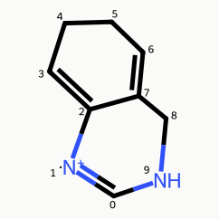 C1=[N+]C2=CCCC=C2CN1